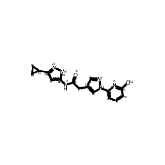 O=C(Cc1cnn(-c2cccc(Cl)n2)c1)Nc1cc(C2CC2)n[nH]1